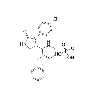 O=C1NCC(C2NCCC=C2Cc2ccccc2)N1c1ccc(Cl)cc1.O=P(O)(O)O